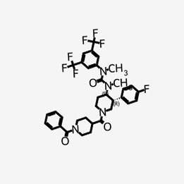 CN(C(=O)N(C)[C@@H]1CCN(C(=O)C2CCN(C(=O)c3ccccc3)CC2)C[C@H]1c1ccc(F)cc1)c1cc(C(F)(F)F)cc(C(F)(F)F)c1